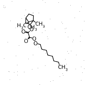 CCCCCCCCOOC(=O)C(=O)OC1CC2CCC1(C)C2(C)C